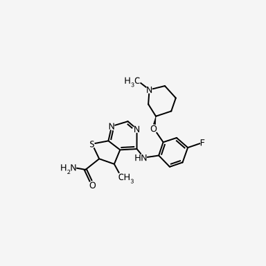 CC1c2c(Nc3ccc(F)cc3O[C@@H]3CCCN(C)C3)ncnc2SC1C(N)=O